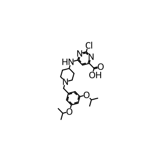 CC(C)Oc1cc(CN2CCC(Nc3cc(C(=O)O)nc(Cl)n3)CC2)cc(OC(C)C)c1